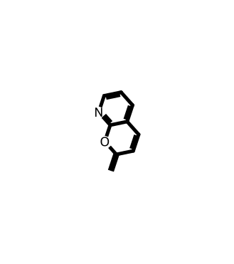 C=C1C=Cc2cccnc2O1